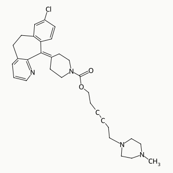 CN1CCN(CCCCCCOC(=O)N2CCC(=C3c4ccc(Cl)cc4CCc4cccnc43)CC2)CC1